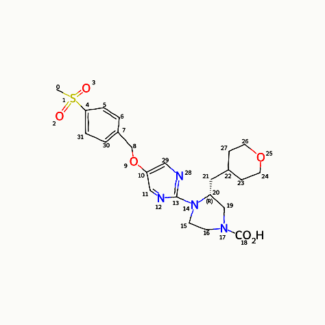 CS(=O)(=O)c1ccc(COc2cnc(N3CCN(C(=O)O)C[C@H]3CC3CCOCC3)nc2)cc1